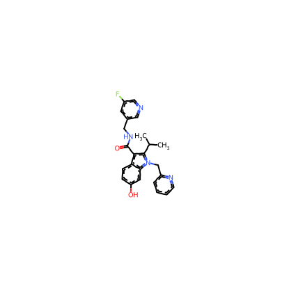 CC(C)c1c(C(=O)NCc2cncc(F)c2)c2ccc(O)cc2n1Cc1ccccn1